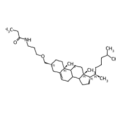 CCC(=O)NCCCOC[C@H]1CC[C@@]2(C)C(=CCC3C2CC[C@@]2(C)C3CC[C@@H]2[C@H](C)CCCC(C)C)C1